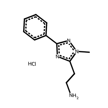 Cl.Cn1nc(-c2ccccc2)nc1CCN